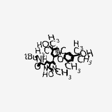 Cc1cc(C(C)(C)O)cc(C)c1Oc1ncc(C(C)(C)O)cc1-c1cn(C)c(=O)c2[nH]c(C(=O)NC(C)(C)C)cc12